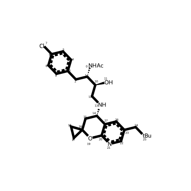 CC(=O)N[C@@H](Cc1ccc(Cl)cc1)[C@@H](O)CN[C@H]1CC2(CC2)Oc2ncc(CC(C)(C)C)cc21